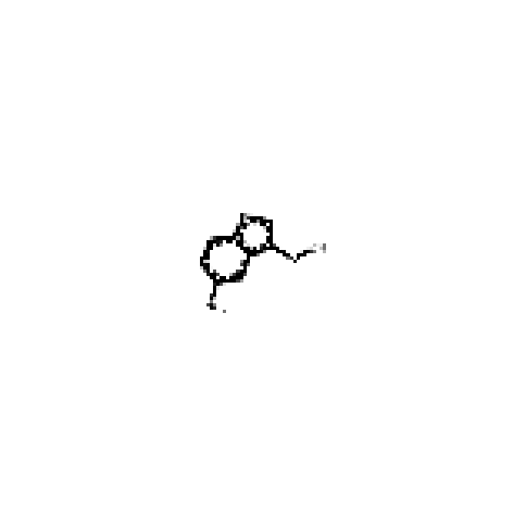 N#CSc1c[nH]c2ccc([N+](=O)[O-])cc12